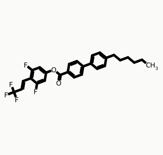 CCCCCCc1ccc(-c2ccc(C(=O)Oc3cc(F)c(/C=C/C(F)(F)F)c(F)c3)cc2)cc1